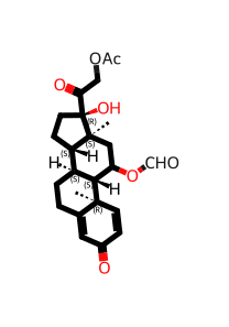 CC(=O)OCC(=O)[C@@]1(O)CC[C@H]2[C@@H]3CCC4=CC(=O)C=C[C@]4(C)[C@H]3C(OC=O)C[C@@]21C